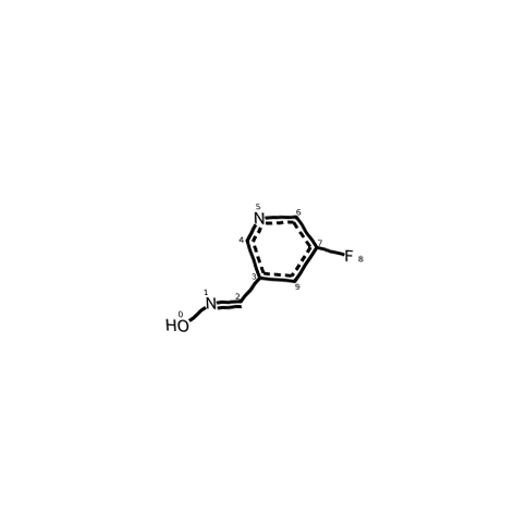 ON=Cc1cncc(F)c1